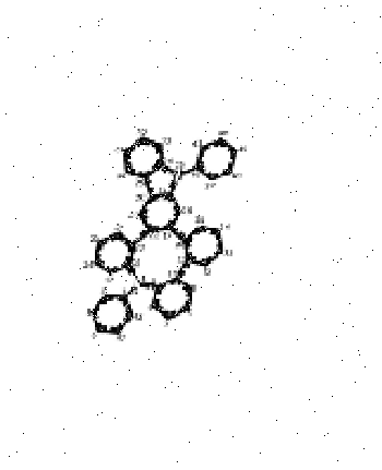 c1ccc(-n2c3ccccc3c3ccccc3c3cc4c(cc3c3ccccc32)c2ccccc2n4-c2ccccc2)cc1